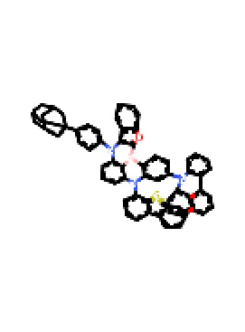 c1ccc(-c2ccccc2N(c2ccccc2)c2ccc3c(c2)N(c2cccc4c2sc2ccccc24)c2cccc4c2B3c2oc3ccccc3c2N4c2ccc(C34CC5CC(CC(C5)C3)C4)cc2)cc1